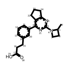 CC1CCN1c1nc2c(c(-c3cccc(CCC(=O)O)c3)n1)CCC2